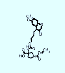 C=COC(=O)N1CCC(NC(=O)OC=CCCc2c(Cl)cnc3ccc(OC)cc23)(C(=O)O)C1